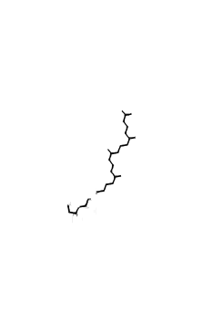 CC(C)CCCC(C)CCCC(C)CCCC(C)CCCC(=O)OC[C@@H](O)C1OCC[C@H]1O